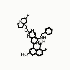 C#Cc1c(F)ccc2cc(O)cc(-c3cc4nc(OC[C@@]56CCCN5C[C@H](F)C6)ncc4c(NCc4ccccc4)n3)c12